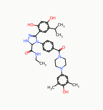 CCNC(=O)C1NN=C(c2cc(C(C)C)c(O)cc2O)N1c1ccc(C(=O)N2CCN(c3cc(C)c(O)c(C)c3)CC2)cc1